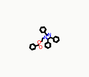 O=C(OCCN1C(c2ccccc2)=NC(c2ccccc2)C1c1ccccc1)c1ccccc1